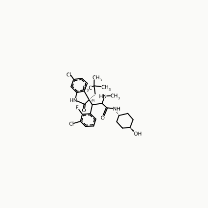 CNC(C(=O)N[C@H]1CC[C@H](O)CC1)C(c1cccc(Cl)c1F)[C@@]1(CC(C)(C)C)C(=O)Nc2cc(Cl)ccc21